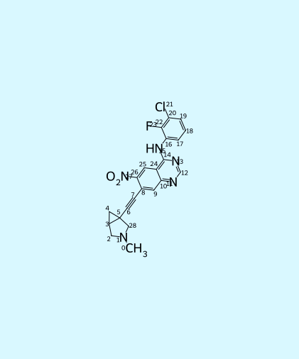 CN1CC2CC2(C#Cc2cc3ncnc(Nc4cccc(Cl)c4F)c3cc2[N+](=O)[O-])C1